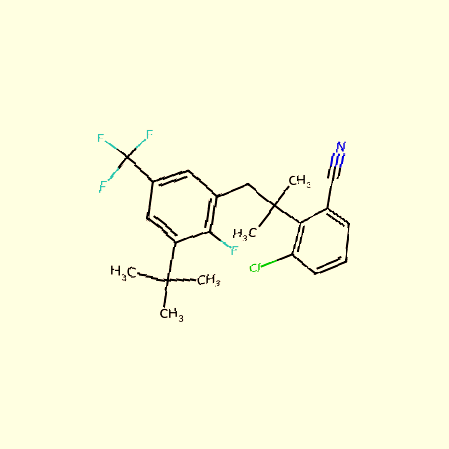 CC(C)(C)c1cc(C(F)(F)F)cc(CC(C)(C)c2c(Cl)cccc2C#N)c1F